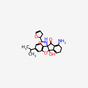 CC(C)c1ccc2c(c1)OC1(O)C3=CCCC(N)=C3C(=O)C21NC(=O)C1CC=CO1